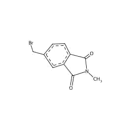 CN1C(=O)c2ccc(CBr)cc2C1=O